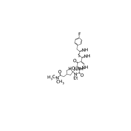 CCN(C(=O)c1[nH]cc(C(=N)SC(=N)Cc2ccc(F)cc2)c(=O)c1O)C1(NC)CCC(CC(=O)N(C)C)C1